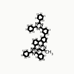 Cc1cc(C)nc(-c2ccc(-c3cccc(-c4nc(-c5ccccc5)nc(-c5ccccc5)n4)c3)cc2-c2cccc(-c3nc(-c4ccccc4)nc(-c4ccccc4)n3)c2)n1